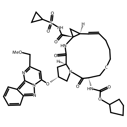 COCc1cc(O[C@@H]2C[C@H]3C(=O)N[C@]4(C(=O)NS(=O)(=O)C5CC5)C[C@H]4/C=C\CCCCC[C@H](NC(=O)OC4CCCC4)C(=O)N3C2)n2nc3ccccc3c2n1